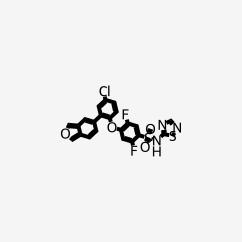 O=S(=O)(Nc1ncns1)c1cc(F)c(Oc2ccc(Cl)cc2-c2ccc3cocc3c2)cc1F